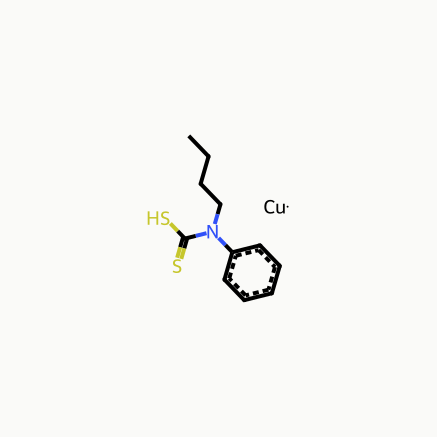 CCCCN(C(=S)S)c1ccccc1.[Cu]